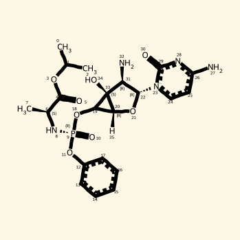 CC(C)OC(=O)[C@H](C)N[P@](=O)(Oc1ccccc1)OC1[C@H]2O[C@@H](n3ccc(N)nc3=O)[C@H](N)[C@@]12O